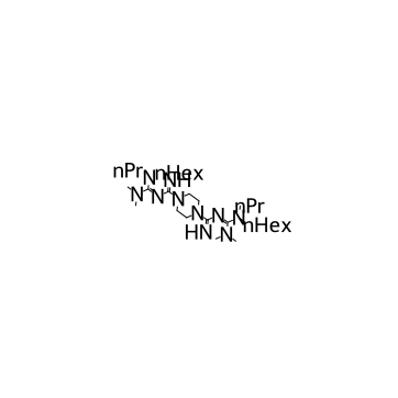 CCCCCCN(CCC)C(=NC(=N)N1CCN(C(=N)N=C(N(C)C)N(CCC)CCCCCC)CC1)N(C)C